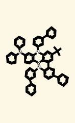 CC(C)(C)c1cc2c3c(c1)N(c1cccc(-c4ccccc4)c1)c1cc(N(c4ccccc4)c4ccccc4)ccc1B3N(c1cccc(-c3ccccc3)c1)c1ccc(-c3ccccc3)cc1-2